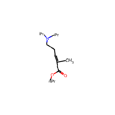 CCCOC(=O)C(C)=CCCN(C(C)C)C(C)C